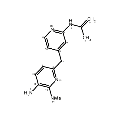 C=C(C)Nc1cc(Cc2ccc(N)c(NC)n2)ccn1